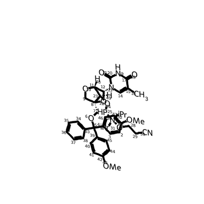 COc1ccc(C(OC[C@@]23CO[C@H]([C@H](n4cc(C)c(=O)[nH]c4=O)O2)[C@H]3OP[N+](OCCC#N)(C(C)C)C(C)C)(c2ccccc2)c2ccc(OC)cc2)cc1